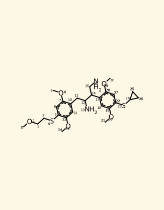 COCCSc1cc(OC)c(CC(N)C(CN)c2cc(OC)c(SC3CC3)cc2OC)cc1OC